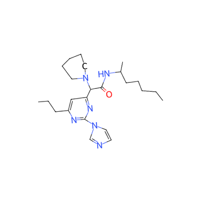 CCCCCC(C)NC(=O)C(c1cc(CCC)nc(-n2ccnc2)n1)N1CCCCC1